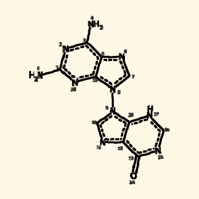 Nc1nc(N)c2ncn(-n3cnc4c(=O)nc[nH]c43)c2n1